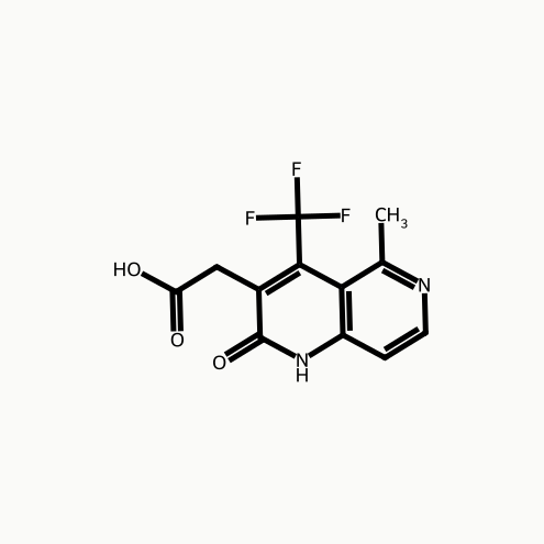 Cc1nccc2[nH]c(=O)c(CC(=O)O)c(C(F)(F)F)c12